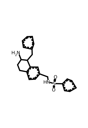 NC1CCc2ccc(CNS(=O)(=O)c3ccccc3)cc2C1Cc1ccccc1